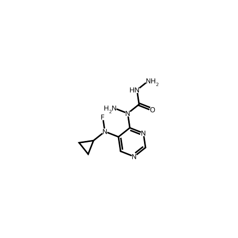 NNC(=O)N(N)c1ncncc1N(F)C1CC1